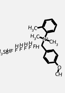 COc1ccc(C[N+](C)(C)c2ccccc2C)cc1.F.F.F.F.F.F.[SbH3]